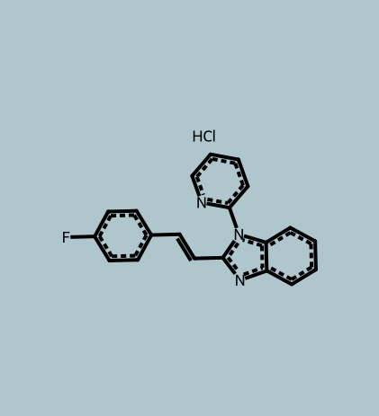 Cl.Fc1ccc(C=Cc2nc3ccccc3n2-c2ccccn2)cc1